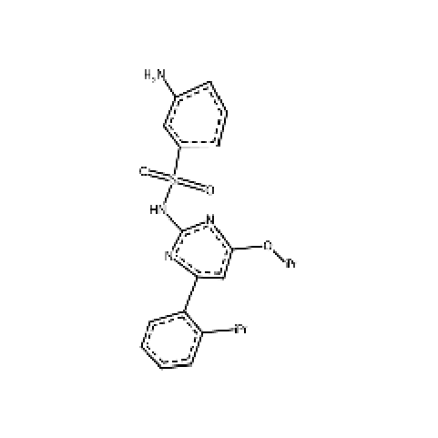 CC(C)Oc1cc(-c2ccccc2C(C)C)nc(NS(=O)(=O)c2cccc(N)c2)n1